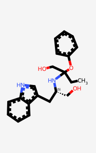 CCC(CO)(N[C@H](CO)Cc1c[nH]c2ccccc12)Oc1ccccc1